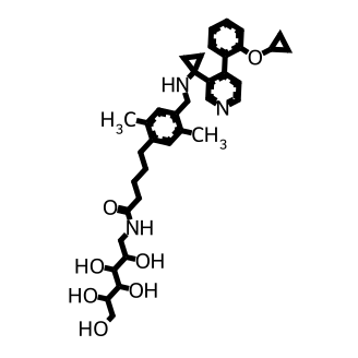 Cc1cc(CNC2(c3cnccc3-c3ccccc3OC3CC3)CC2)c(C)cc1CCCCC(=O)NCC(O)C(O)C(O)C(O)CO